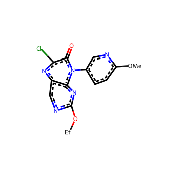 CCOc1ncc2nc(Cl)c(=O)n(-c3ccc(OC)nc3)c2n1